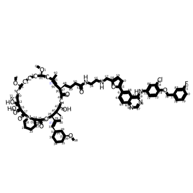 CO[C@@H]1CCC[C@@H](OC)C[C@@H](C)C(O)(O)C(=O)C(=O)N2CCCC[C@H]2C(=O)O[C@H](/C(C)=C/[C@@H]2CCC[C@H](OC)C2)[C@H](C)[C@@H](O)CC(=O)[C@H](CCCC(=O)NCCNCc2ccc(-c3ccc4ncnc(Nc5ccc(OCc6cccc(F)c6)c(Cl)c5)c4c3)o2)/C=C(\C)C1